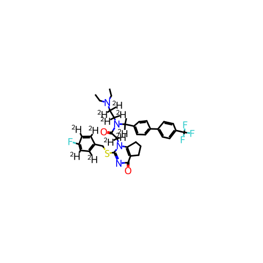 [2H]c1c([2H])c(CSc2nc(=O)c3c(n2C([2H])([2H])C(=O)N(C([2H])(C)c2ccc(-c4ccc(C(F)(F)F)cc4)cc2)C([2H])([2H])C([2H])([2H])N(CC)CC)CCC3)c([2H])c([2H])c1F